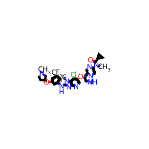 CN1CC[C@H](Oc2cc(Nc3nc4ncc(O/C(C=N)=C5\C=NC(N(C)C(=O)C6CC6)=CN5)c(Cl)c4n3C)cc(C(F)(F)F)c2)C1